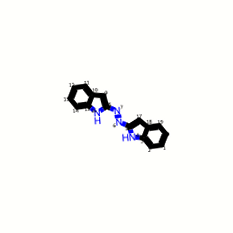 c1ccc2[nH]c(N=Nc3cc4ccccc4[nH]3)cc2c1